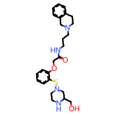 O=C(COc1ccccc1SN1CCNC(CO)C1)NCCCN1CCc2ccccc2C1